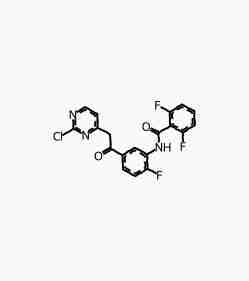 O=C(Cc1ccnc(Cl)n1)c1ccc(F)c(NC(=O)c2c(F)cccc2F)c1